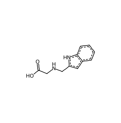 O=C(O)CNCc1cc2ccccc2[nH]1